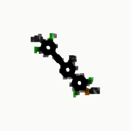 CCCCc1c(F)cc(C#Cc2ccc(-c3cc(F)c(SC#N)c(F)c3)cc2CC)cc1F